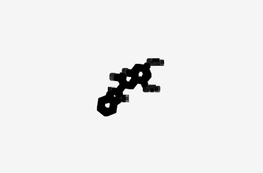 COc1cc(OC)c2cc(-c3nc4ccccc4[nH]3)c(=O)oc2c1